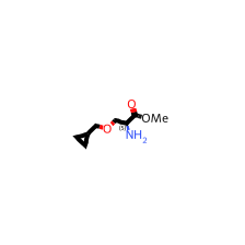 COC(=O)[C@@H](N)COCC1CC1